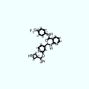 CC(C)C(Oc1cc(CNc2ncccc2C(=O)Nc2ccc(C(F)(F)F)cc2)ccn1)C1CNC1